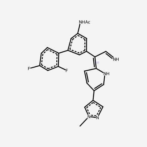 CC(=O)Nc1cc(/C(C=N)=C2\C=CC(c3cnn(C)c3)=CN2)cc(-c2ccc(F)cc2F)c1